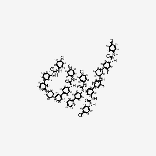 Cc1cc(-c2cccc(NC(=O)Nc3ccc(Cl)cc3)c2)ncn1.O=C(Nc1ccc(Cl)cc1)Nc1ccc(-c2ccccn2)cc1.O=C(Nc1ccc(Cl)cc1)Nc1ccc(-c2ccncc2)cc1.O=C(Nc1ccc(Cl)cc1)Nc1ccc(N2CCCC(O)C2)c(F)c1.O=C(Nc1ccc(Cl)cc1)Nc1cccc(-c2ccnc(N3CCCCC3)n2)c1